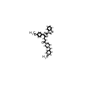 COc1ccc(-c2nc(-n3cnc4ccccc43)oc2CCC(=O)N2CCN(CC3CCN(C)CC3)CC2)cc1